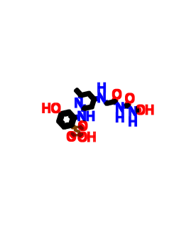 CC1CC(NCC(=O)NC(=O)NO)CC(Nc2cc(O)ccc2S(=O)(=O)O)=N1